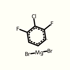 Fc1[c]ccc(F)c1Cl.[Br][Mg][Br]